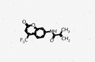 C=C(C)C(=O)Nc1ccc2c(C(F)(F)F)cc(=O)oc2c1